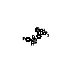 Cn1nccc1-c1cc(NC(=O)Nc2ccc(F)cc2)ccc1OC(F)(F)F